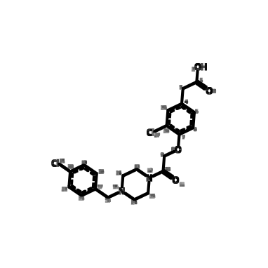 O=C(O)Cc1ccc(OCC(=O)N2CCN(Cc3ccc(Cl)cc3)CC2)c(Cl)c1